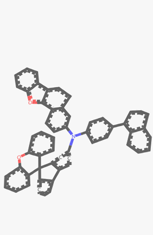 c1ccc2c(c1)Oc1ccccc1C21c2ccccc2-c2ccc(N(c3ccc(-c4cccc5ccccc45)cc3)c3ccc4c(ccc5c6ccccc6oc45)c3)cc21